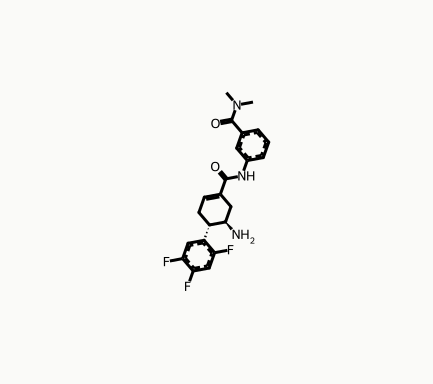 CN(C)C(=O)c1cccc(NC(=O)C2=CC[C@@H](c3cc(F)c(F)cc3F)[C@H](N)C2)c1